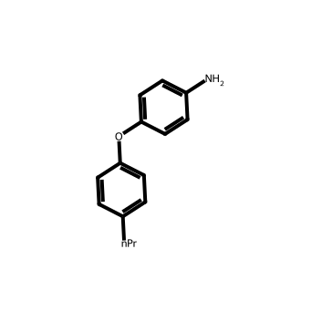 [CH2]CCc1ccc(Oc2ccc(N)cc2)cc1